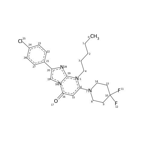 CCCCCn1c(N2CCC(F)(F)CC2)cc(=O)n2cc(-c3ccc(Cl)cc3)nc12